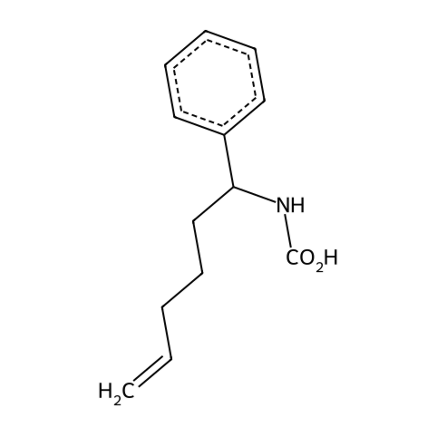 C=CCCCC(NC(=O)O)c1ccccc1